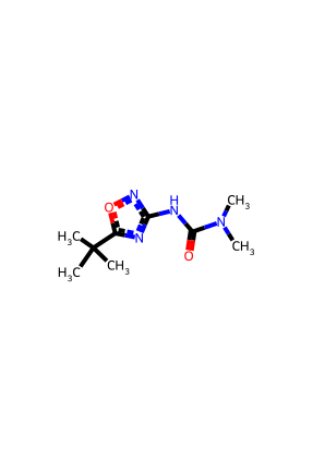 CN(C)C(=O)Nc1noc(C(C)(C)C)n1